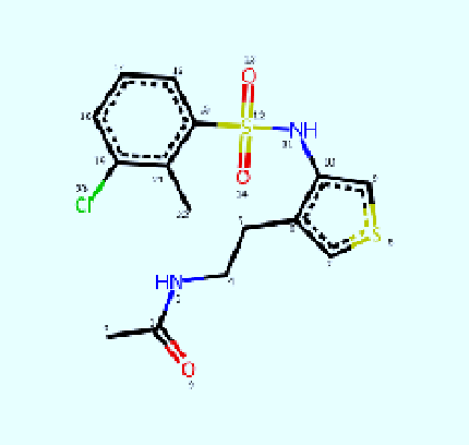 CC(=O)NCCc1cscc1NS(=O)(=O)c1cccc(Cl)c1C